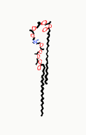 CCCCCCCCCCCCCCCCCCCCCC(=O)OC(C)COC(C)COC(C)COCC[N+](C)(C)CCOCC(C)OCC(C)OCC(C)OC(=O)CCCCCCCCCCCCCCCCCCCCC